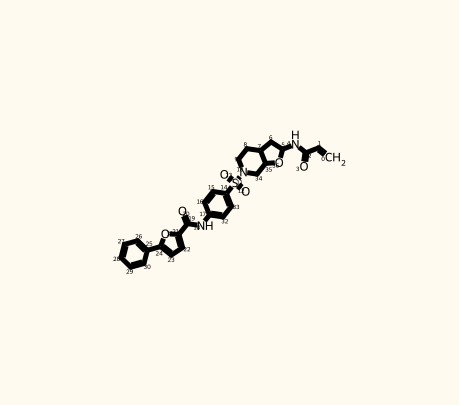 C=CC(=O)NC1CC2CCN(S(=O)(=O)c3ccc(NC(=O)c4ccc(-c5ccccc5)o4)cc3)CC2O1